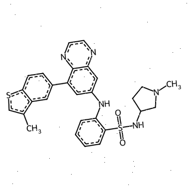 Cc1csc2ccc(-c3cc(Nc4ccccc4S(=O)(=O)NC4CCN(C)C4)cc4nccnc34)cc12